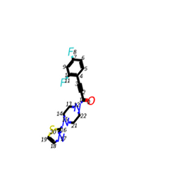 O=C(C#Cc1ccc(F)cc1F)N1CCN(c2nccs2)CC1